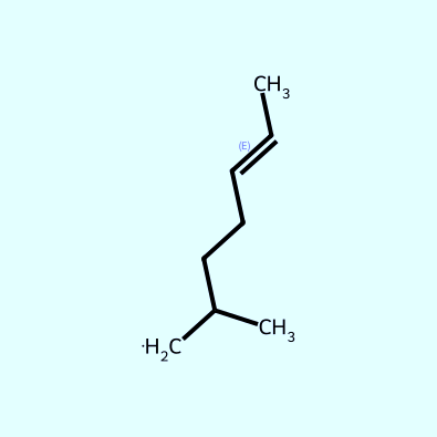 [CH2]C(C)CC/C=C/C